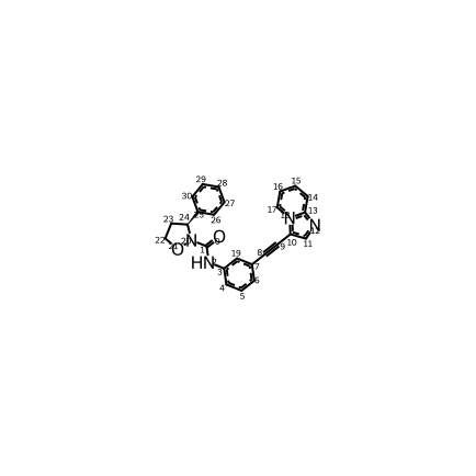 O=C(Nc1cccc(C#Cc2cnc3ccccn23)c1)N1OCC[C@H]1c1ccccc1